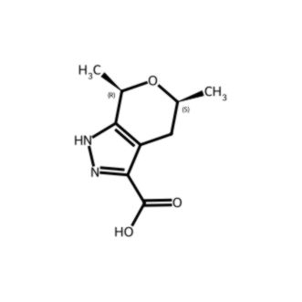 C[C@H]1Cc2c(C(=O)O)n[nH]c2[C@@H](C)O1